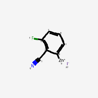 N#Cc1c(F)ccc[c]1[Zn+].[I-]